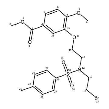 COC(=O)c1ccc(OC)c(OCCN(CCBr)S(=O)(=O)c2ccc(C)cc2)c1